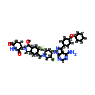 Nc1ncnc2c1c(-c1ccc(Oc3ccccc3)cc1)nn2[C@H]1CCN(Cc2cc3c(cc2F)C(=O)N(C2CCC(=O)NC2=O)C3)C[C@@H]1F